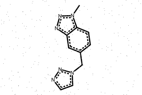 Cn1nnc2cc(Cn3ccnn3)ccc21